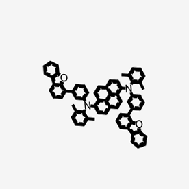 Cc1cccc(C)c1N(c1cccc(-c2cccc3c2oc2ccccc23)c1)c1ccc2ccc3c(N(c4cccc(-c5cccc6c5oc5ccccc56)c4)c4c(C)cccc4C)ccc4ccc1c2c43